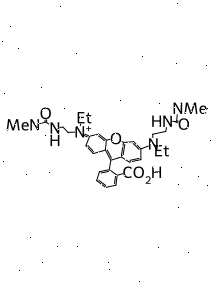 CCN(CCNC(=O)NC)c1ccc2c(-c3ccccc3C(=O)O)c3cc/c(=[N+](/CC)CCNC(=O)NC)cc-3oc2c1